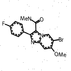 CNC(=O)c1c(-c2ccc(F)cc2)nc2cc(OC)c(Br)cn12